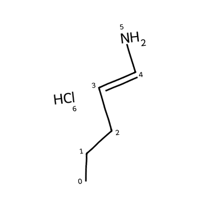 CCCC=CN.Cl